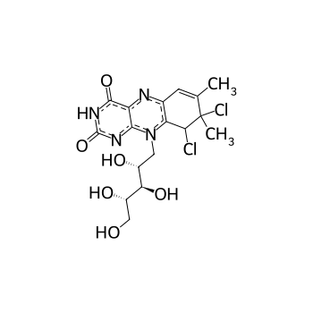 CC1=Cc2nc3c(=O)[nH]c(=O)nc-3n(C[C@@H](O)[C@@H](O)[C@@H](O)CO)c2C(Cl)C1(C)Cl